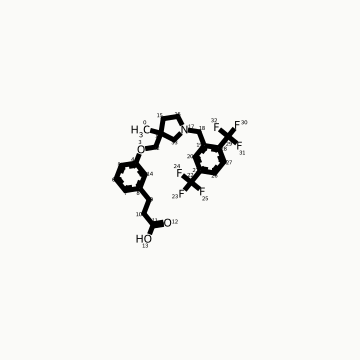 CC1(COc2cccc(CCC(=O)O)c2)CCN(Cc2cc(C(F)(F)F)ccc2C(F)(F)F)C1